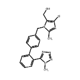 Cc1nc(Cl)c(CO)n1Cc1ccc(-c2ccccc2-c2nnnn2C)cc1